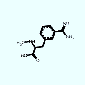 CNC(Cc1cccc(C(=N)N)c1)C(=O)O